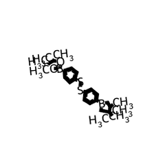 CC1(C)CB(c2ccc(SSc3ccc(B4OC(C)(C)C(C)(C)O4)cc3)cc2)CC1(C)C